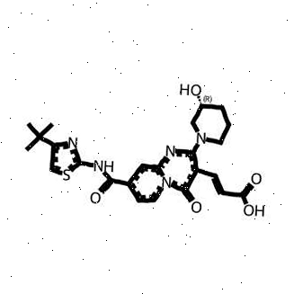 CC(C)(C)c1csc(NC(=O)c2ccn3c(=O)c(C=CC(=O)O)c(N4CCC[C@@H](O)C4)nc3c2)n1